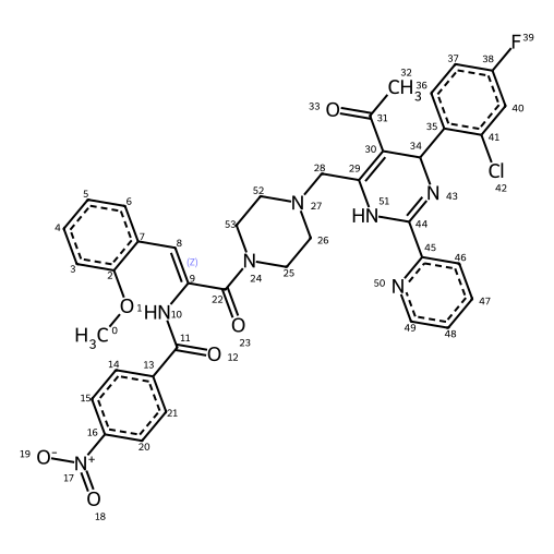 COc1ccccc1/C=C(\NC(=O)c1ccc([N+](=O)[O-])cc1)C(=O)N1CCN(CC2=C(C(C)=O)C(c3ccc(F)cc3Cl)N=C(c3ccccn3)N2)CC1